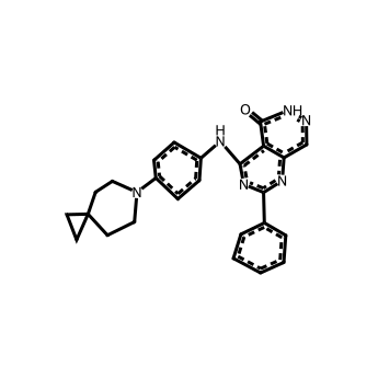 O=c1[nH]ncc2nc(-c3ccccc3)nc(Nc3ccc(N4CCC5(CC4)CC5)cc3)c12